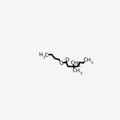 CCCCOC(=O)CC(C)(C)CCCC